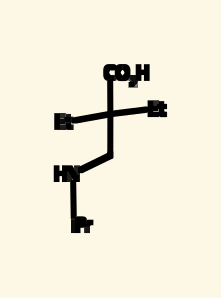 CCC(CC)(CNC(C)C)C(=O)O